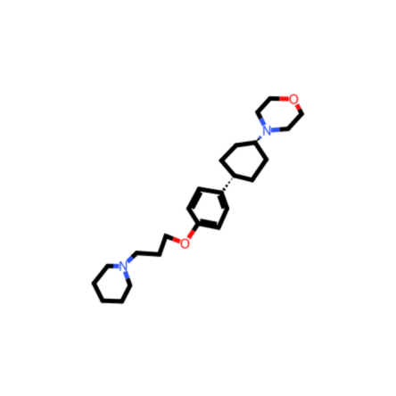 c1cc([C@H]2CC[C@@H](N3CCOCC3)CC2)ccc1OCCCN1CCCCC1